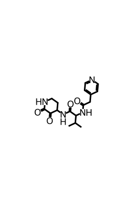 CC(C)C(NC(=O)Cc1ccncc1)C(=O)NC1CCNC(=O)C1=O